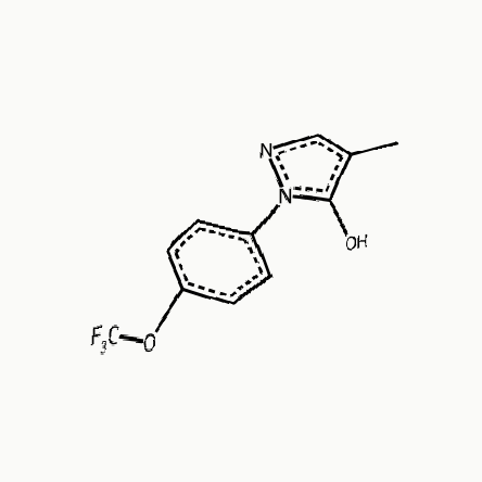 Cc1cnn(-c2ccc(OC(F)(F)F)cc2)c1O